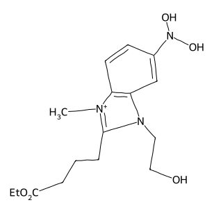 CCOC(=O)CCCc1n(CCO)c2cc(N(O)O)ccc2[n+]1C